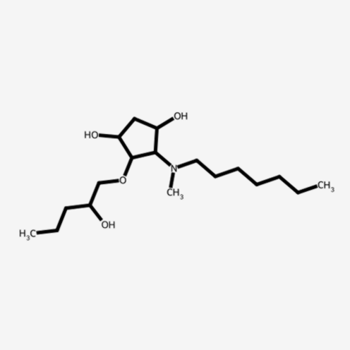 CCCCCCCN(C)C1C(O)CC(O)C1OCC(O)CCC